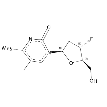 CSc1nc(=O)n([C@H]2C[C@H](F)[C@@H](CO)O2)cc1C